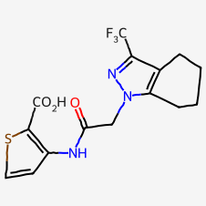 O=C(Cn1nc(C(F)(F)F)c2c1CCCC2)Nc1ccsc1C(=O)O